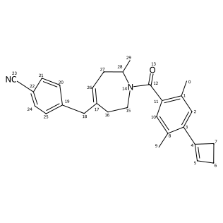 Cc1cc(C2=CCC2)c(C)cc1C(=O)N1CCC(Cc2ccc(C#N)cc2)=CCC1C